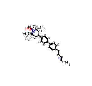 C/C=C/CCc1ccc(-c2ccc(C3CC(C)(C)N(O)C(C)(C)C3)cc2)cc1